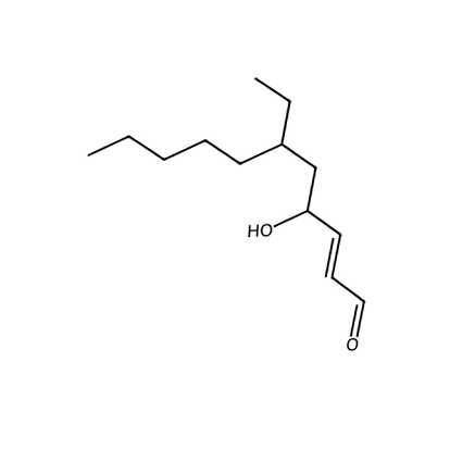 CCCCCC(CC)CC(O)/C=C/C=O